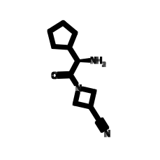 N#CC1CN(C(=O)[C@H](N)C2CCCC2)C1